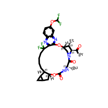 CC[C@@H]1[C@@H]2CN(C(=O)[C@H](C(C)(C)C)NC(=O)O[C@@H]3CC4CC4[C@H]3CCCCC(F)(F)c3nc4ccc(OC(F)F)cc4nc3O2)[C@@H]1C(=O)C(C)C